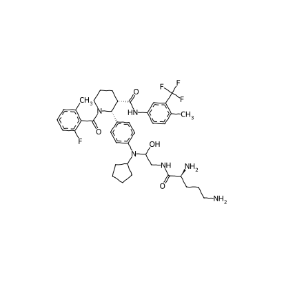 Cc1ccc(NC(=O)[C@H]2CCCN(C(=O)c3c(C)cccc3F)[C@H]2c2ccc(N(C(O)CNC(=O)[C@@H](N)CCCN)C3CCCC3)cc2)cc1C(F)(F)F